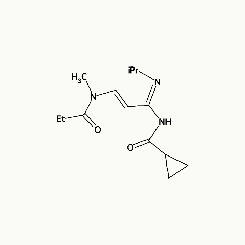 CCC(=O)N(C)/C=C/C(=N\C(C)C)NC(=O)C1CC1